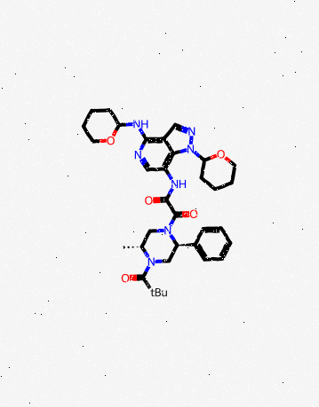 C[C@@H]1CN(C(=O)C(=O)Nc2cnc(NC3CCCCO3)c3cnn(C4CCCCO4)c23)[C@@H](c2ccccc2)CN1C(=O)C(C)(C)C